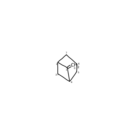 C=C1C2[C]C1CCC2